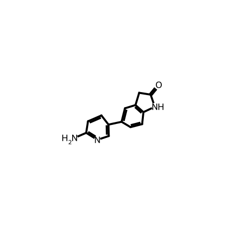 Nc1ccc(-c2ccc3c(c2)CC(=O)N3)cn1